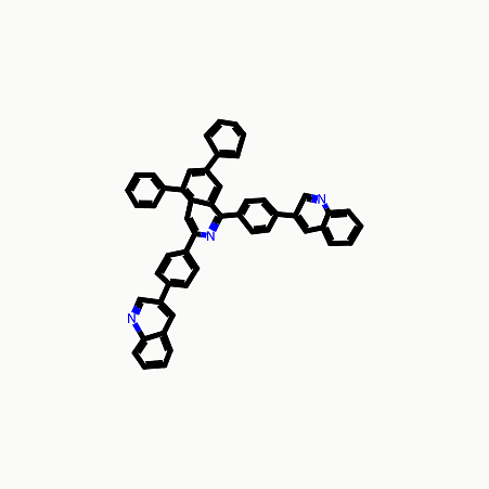 c1ccc(-c2cc(-c3ccccc3)c3cc(-c4ccc(-c5cnc6ccccc6c5)cc4)nc(-c4ccc(-c5cnc6ccccc6c5)cc4)c3c2)cc1